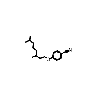 CC(C)CCCC(C)CCOc1ccc(C#N)cc1